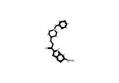 CC(=O)Nc1ccc2cc(C(=O)CCC3CCN(Cc4ccccc4)CC3)sc2c1